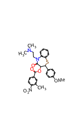 COc1ccc(C2Sc3ccccc3N(CCN(C)C)C(=O)C2OC(=O)c2ccc([N+](=O)[O-])c(C)c2)cc1